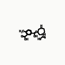 C1CNCCNC1.Cc1ccc(C(=O)O)cc1C(=O)O.S=CS